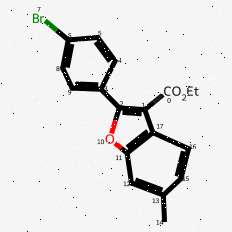 CCOC(=O)c1c(-c2ccc(Br)cc2)oc2cc(C)ccc12